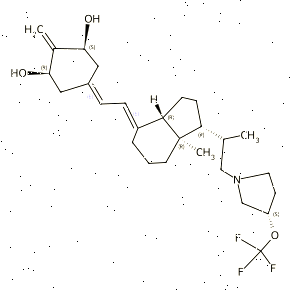 C=C1[C@H](O)C/C(=C/C=C2\CCC[C@]3(C)[C@@H](C(C)CN4CC[C@H](OC(F)(F)F)C4)CC[C@@H]23)C[C@@H]1O